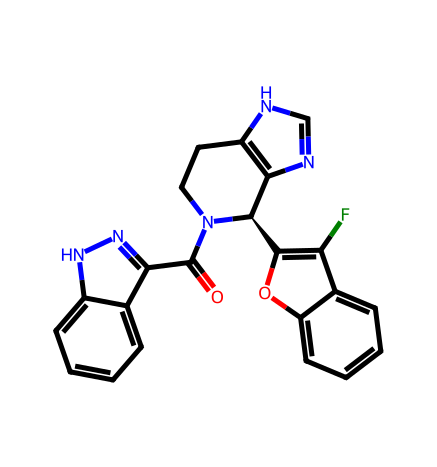 O=C(c1n[nH]c2ccccc12)N1CCc2[nH]cnc2[C@H]1c1oc2ccccc2c1F